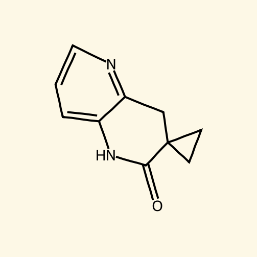 O=C1Nc2cccnc2CC12CC2